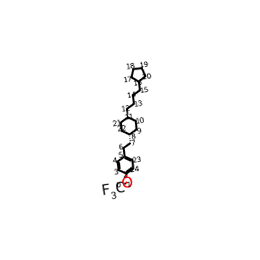 FC(F)(F)Oc1ccc(CC[C@H]2CC[C@H](CCCCC3CCCC3)CC2)cc1